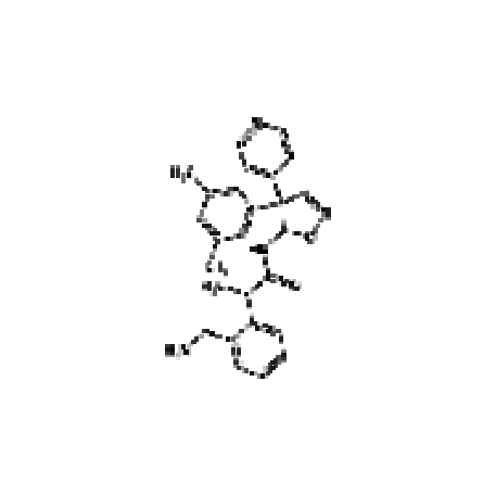 Cc1cc(C)cc(C2(c3ccncc3)C=NOC2NC(=O)C(C)c2ccccc2CN)c1